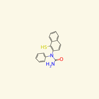 NC(=O)N(c1ccccc1)c1ccc2ccccc2c1S